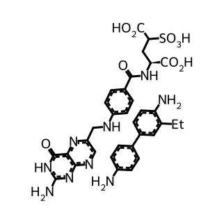 CCc1cc(-c2ccc(N)cc2)ccc1N.Nc1nc2ncc(CNc3ccc(C(=O)N[C@@H](CC(C(=O)O)S(=O)(=O)O)C(=O)O)cc3)nc2c(=O)[nH]1